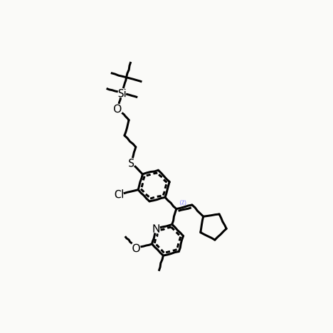 COc1nc(/C(=C\C2CCCC2)c2ccc(SCCCO[Si](C)(C)C(C)(C)C)c(Cl)c2)ccc1C